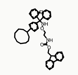 O=C(NCCONC(c1ccccc1)(c1ccc(C2CCCCCCCCC2)cc1)c1ccccc1Cl)OCC1c2ccccc2-c2ccccc21